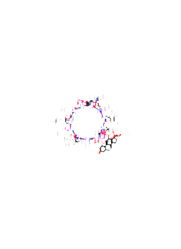 C/C=C/C[C@@H](C)[C@@H](O)[C@H]1C(=O)N[C@@H](CC)C(=O)N(C)CC(=O)N(C)[C@@H](CC(C)C)C(=O)N[C@@H](C(C)C)C(=O)N(C)[C@@H](CC(C)C)C(=O)N[C@@H](C)C(=O)N[C@H](C)C(=O)N(C)[C@@H](CC(C)C)C(=O)N(C)[C@@H](CC(C)C)C(=O)N(C)[C@@H](C(C)C)C(=O)N1C.C[C@]12CCC(=O)C=C1CC[C@@H]1[C@@H]2[C@@H](O)C[C@@]2(C)[C@H]1CC[C@]2(O)C(=O)CO